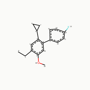 CCc1cc(C2CC2)c(-c2ccc(F)cc2)cc1OC